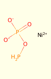 O=P([O-])([O-])OP.[Ni+2]